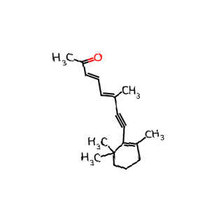 CC(=O)C=CC=C(C)C#CC1=C(C)CCCC1(C)C